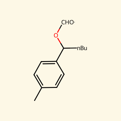 CCCCC(O[C]=O)c1ccc(C)cc1